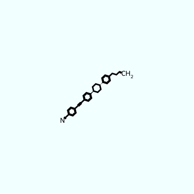 C=CCCc1ccc([C@H]2CC[C@H](c3ccc(C#Cc4ccc(C#N)cc4)cc3)CC2)cc1